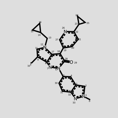 Cn1cc2cc(-n3nc4c(I)cn(CC5CC5)c4c(-c4ccc(C5CC5)nc4)c3=O)ccc2n1